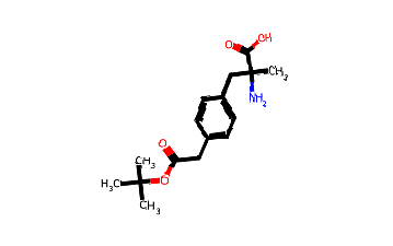 CC(C)(C)OC(=O)Cc1ccc(CC(C)(N)C(=O)O)cc1